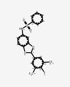 O=S(=O)(Nc1ccc2c(c1)OC(c1cc(C(F)(F)F)c(F)c(C(F)(F)F)c1)O2)c1ccccc1